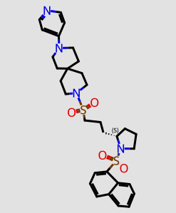 O=S(=O)(CCC[C@@H]1CCCN1S(=O)(=O)c1cccc2ccccc12)N1CCC2(CCN(c3ccncc3)CC2)CC1